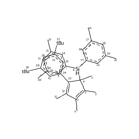 CC1=C(C)C(C)([SiH](c2cc(C)cc(C)c2)c2cc(C)cc(C)c2)C(c2cc(C(C)(C)C)cc(C(C)(C)C)c2)=C1C